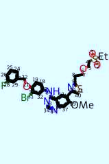 CCS(=O)(=O)CCOCCc1nc(-c2cc3c(Nc4ccc(OCc5cccc(F)c5)c(Br)c4)ncnc3cc2OC)cs1